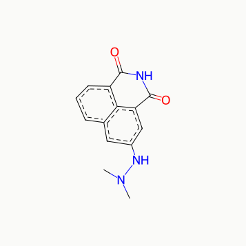 CN(C)Nc1cc2c3c(cccc3c1)C(=O)NC2=O